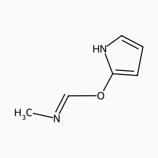 C/N=C/Oc1ccc[nH]1